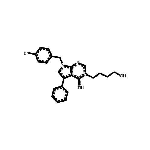 N=c1c2c(-c3ccccc3)cn(Cc3ccc(Br)cc3)c2ncn1CCCCO